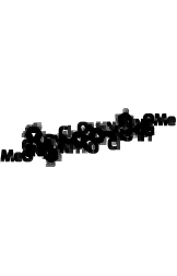 COC(=O)NC(C(=O)N1CCC[C@H]1c1nc(Cl)c(-c2cc3c4c(c2)OCc2cc(-c5[nH]c([C@@H]6CCCN6C(=O)[C@H](NC(=O)OC)c6ccccc6)nc5Cl)cc(c2-4)OC3)[nH]1)C(C)C